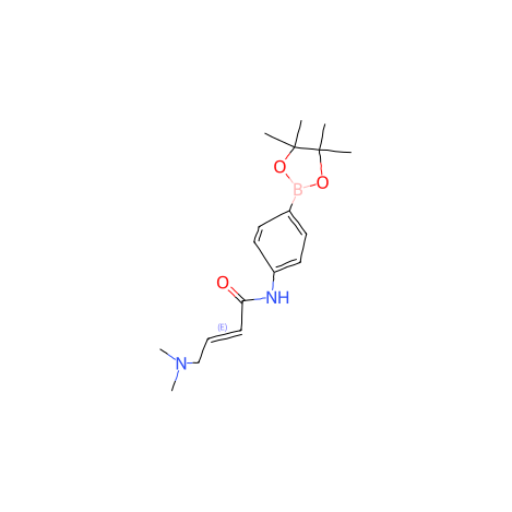 CN(C)C/C=C/C(=O)Nc1ccc(B2OC(C)(C)C(C)(C)O2)cc1